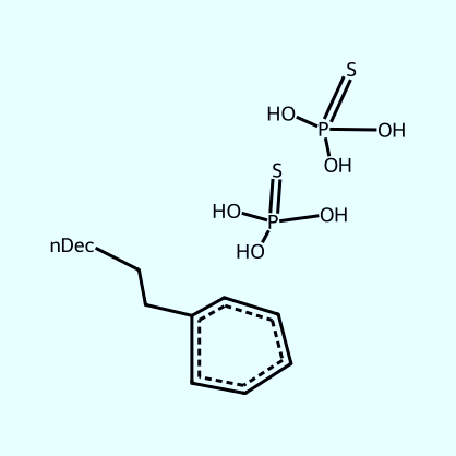 CCCCCCCCCCCCc1ccccc1.OP(O)(O)=S.OP(O)(O)=S